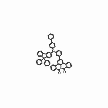 O=c1c2ccccc2c2cc(-c3cccc(N(c4ccc(-c5ccccc5)cc4)c4ccc5c(c4)-c4ccccc4C5(c4ccccc4)c4ccccc4)c3)cc3c4ccccc4c(=O)n1c23